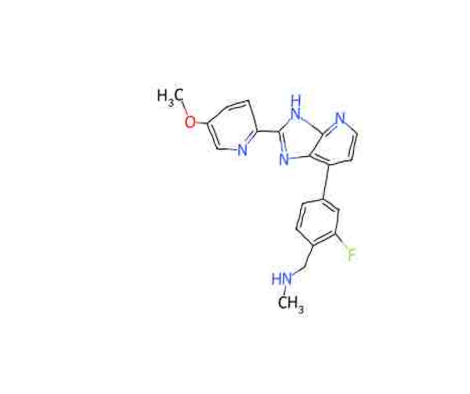 CNCc1ccc(-c2ccnc3[nH]c(-c4ccc(OC)cn4)nc23)cc1F